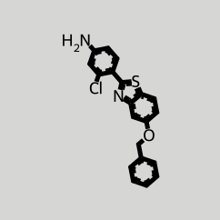 Nc1ccc(-c2nc3cc(OCc4ccccc4)ccc3s2)c(Cl)c1